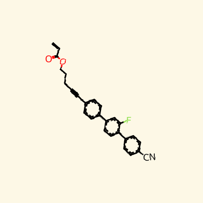 C=CC(=O)OCCCC#Cc1ccc(-c2ccc(-c3ccc(C#N)cc3)c(F)c2)cc1